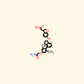 Cc1cc(OCC(N)=O)cc(C)c1-c1ccc(F)c2c1CC[C@H]2Oc1ccc2c(c1)OCC2CC(=O)O